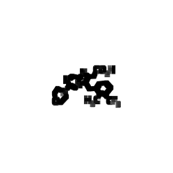 Cc1c(Cc2c(CC(=O)O)nc3cnc(N4CCOCC4)cn23)cccc1C(F)(F)F